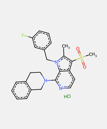 Cc1c(S(C)(=O)=O)c2ccnc(N3CCc4ccccc4C3)c2n1Cc1cccc(F)c1.Cl